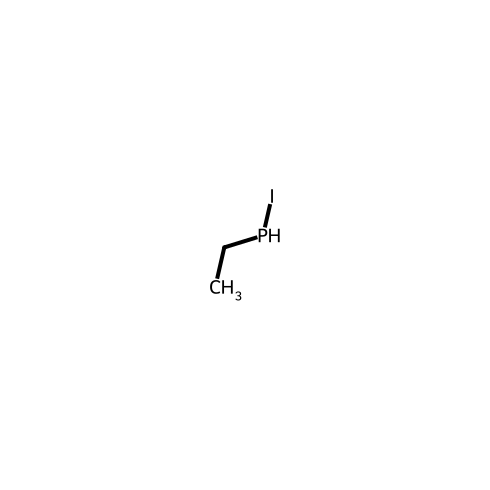 CCPI